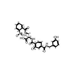 O=C(NCc1cccc(O)c1)c1ccc(C(=O)N[C@@H](CNC(=O)c2ccccc2[N+](=O)[O-])C(=O)O)c(Cl)c1